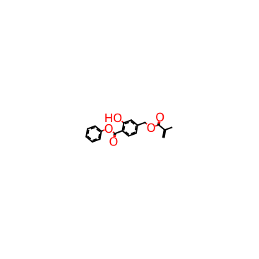 C=C(C)C(=O)OCc1ccc(C(=O)Oc2ccccc2)c(O)c1